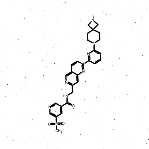 CS(=O)(=O)c1cncc(C(=O)NCc2cc3nc(-c4cccc(N5CCC6(CC5)CNC6)n4)ccc3cn2)c1